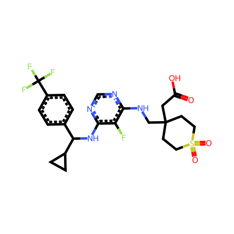 O=C(O)CC1(CNc2ncnc(NC(c3ccc(C(F)(F)F)cc3)C3CC3)c2F)CCS(=O)(=O)CC1